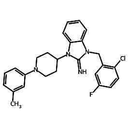 Cc1cccc(N2CCC(n3c(=N)n(Cc4cc(F)ccc4Cl)c4ccccc43)CC2)c1